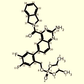 CCOP(=O)(OCC)OCc1cc(F)c(F)cc1-c1ccc2nc(N)nc(C(=O)N3Cc4ccccc4C3)c2c1